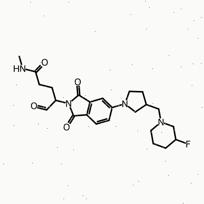 CNC(=O)CCC(C=O)N1C(=O)c2ccc(N3CCC(CN4CCCC(F)C4)C3)cc2C1=O